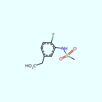 CS(=O)(=O)Nc1cc(CC(=O)O)ccc1F